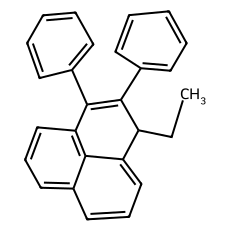 CCC1C(c2ccccc2)=C(c2ccccc2)c2cccc3cccc1c23